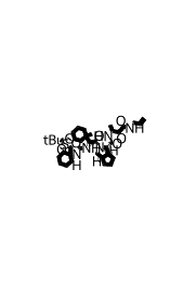 C=CCNC(=O)C(=O)C(C)NC(=O)[C@@H]1[C@H]2CCC[C@H]2CN1C(=O)[C@@H](NC(=O)NC1(CS(=O)(=O)C(C)(C)C)CCCCC1)C1(C)CCCCC1